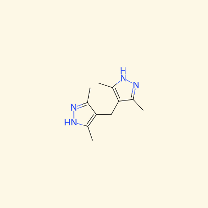 Cc1n[nH]c(C)c1Cc1c(C)n[nH]c1C